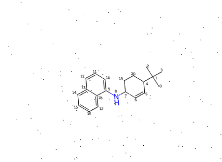 CC(C)(C)C1C=CC(Nc2cccc3ccccc23)CC1